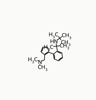 CN(C)CC1=C(c2ccccc2C(C)(C)NC(C)(C)C)CC=C1